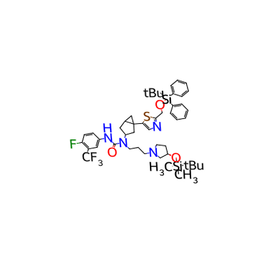 CC(C)(C)[Si](C)(C)O[C@@H]1CCN(CCCN(C(=O)Nc2ccc(F)c(C(F)(F)F)c2)C2CC3CC3(c3cnc(CO[Si](c4ccccc4)(c4ccccc4)C(C)(C)C)s3)C2)C1